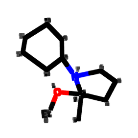 CCO[Si]1(C)CCCN1C1CCCCC1